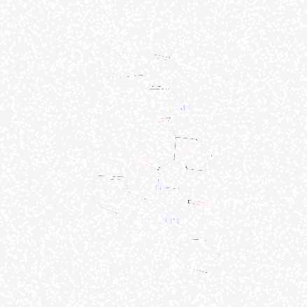 Cc1cc(C)cc(NC(=O)C2C3C=CC4(O3)C2C(=O)N(Cc2ccccc2F)C4C(=O)NC2CCCCC2)c1